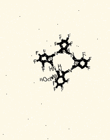 CCCCCCCCNC1(F)C(F)=C(F)C(F)=c2c1c1[nH]/c2=N\C2=NC(=N\c3[nH]c(c4c(F)c(F)c(F)c(F)c34)/N=C3\N=C(N1)c1c(F)c(F)c(F)c(F)c13)/c1c2cc(F)c(F)c1F